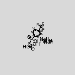 O=P(O)(O)CP(=O)(O)c1ccc(C(F)(F)F)cc1.[NaH].[NaH].[NaH]